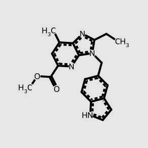 CCc1nc2c(C)cc(C(=O)OC)nc2n1Cc1ccc2[nH]ccc2c1